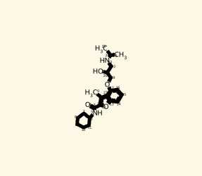 Cc1c(C(=O)NC2CCCCC2)oc2cccc(OCC(O)CNC(C)C)c12